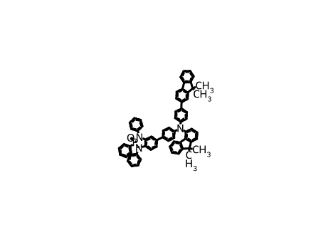 CC1(C)c2ccccc2-c2ccc(-c3ccc(N(c4ccc(-c5ccc6c(c5)N(c5ccccc5)P(=O)(c5ccccc5)N6c5ccccc5)cc4)c4cccc5c4-c4ccccc4C5(C)C)cc3)cc21